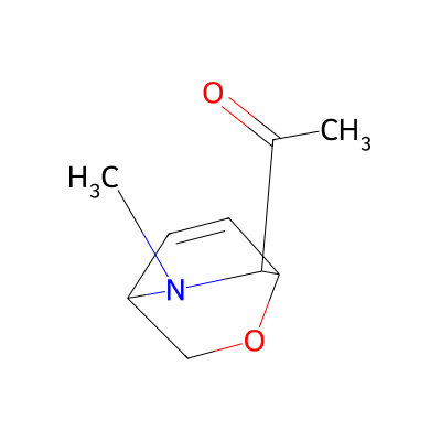 CC(=O)C1C2C=CC(CO2)N1C